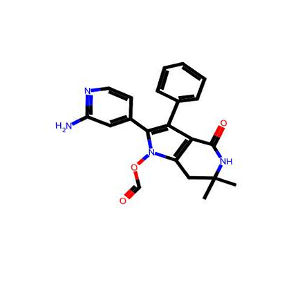 CC1(C)Cc2c(c(-c3ccccc3)c(-c3ccnc(N)c3)n2OC=O)C(=O)N1